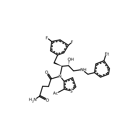 CCc1cccc(CNC[C@@H](O)[C@H](Cc2cc(F)cc(F)c2)N(C(=O)CCC(N)=O)c2ccsc2C(C)=O)c1